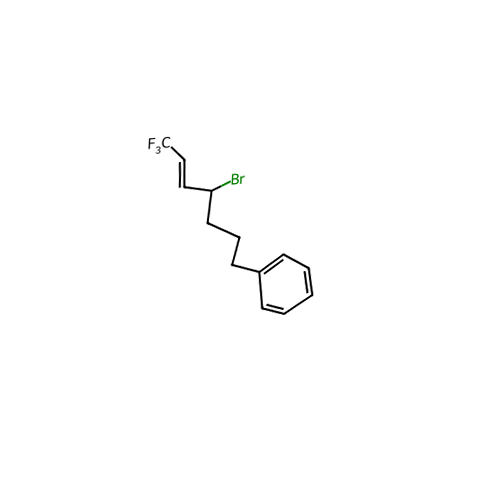 FC(F)(F)/C=C/C(Br)CCCc1ccccc1